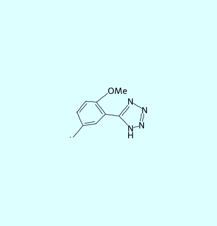 [CH2]c1ccc(OC)c(-c2nnn[nH]2)c1